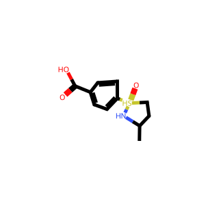 CC1CC[SH](=O)(c2ccc(C(=O)O)cc2)N1